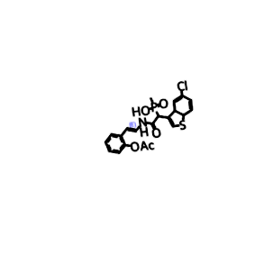 CC(=O)Oc1ccccc1/C=C/NC(=O)C(C1=CSC2C=CC(Cl)=CC12)P(C)(=O)O